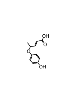 CC(C=CC(=O)O)Oc1ccc(O)cc1